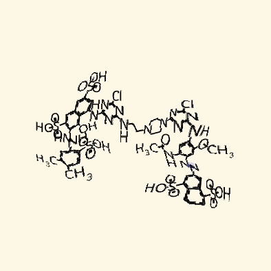 COc1cc(/N=N/c2cc(S(=O)(=O)O)c3cccc(S(=O)(=O)O)c3c2)c(NC(C)=O)cc1Nc1nc(Cl)nc(N2CCN(CCNc3nc(Cl)nc(Nc4cc(S(=O)(=O)O)cc5cc(S(=O)(=O)O)c(NNc6cc(C)c(C)cc6S(=O)(=O)O)c(O)c45)n3)CC2)n1